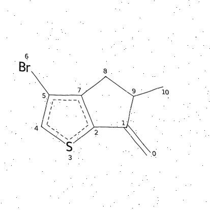 C=C1c2scc(Br)c2CC1C